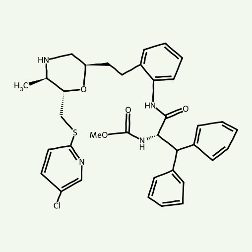 COC(=O)N[C@H](C(=O)Nc1ccccc1CC[C@@H]1CN[C@H](C)[C@@H](CSc2ccc(Cl)cn2)O1)C(c1ccccc1)c1ccccc1